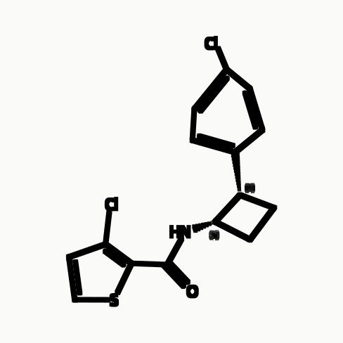 O=C(N[C@H]1CC[C@H]1c1ccc(Cl)cc1)c1sccc1Cl